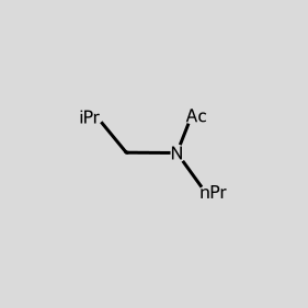 CCCN(CC(C)C)C(C)=O